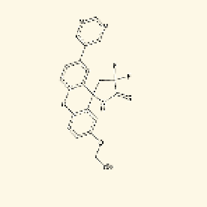 CC(C)(C)COc1ccc2c(c1)C1(CC(F)(F)C(=S)N1)c1cc(-c3cncnc3)ccc1O2